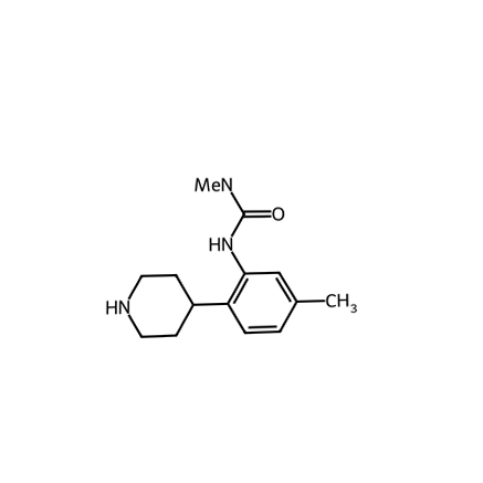 CNC(=O)Nc1cc(C)ccc1C1CCNCC1